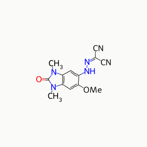 COc1cc2c(cc1NN=C(C#N)C#N)n(C)c(=O)n2C